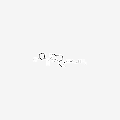 NCCCNc1nccc2c1CCc1cnc(Nc3cccc(Cl)c3)nc1-2